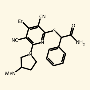 CCc1c(C#N)c(SC(C(N)=O)c2ccccc2)nc(N2CCC(NC)C2)c1C#N